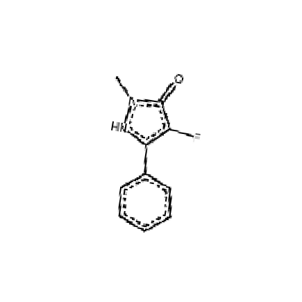 Cn1[nH]c(-c2ccccc2)c(F)c1=O